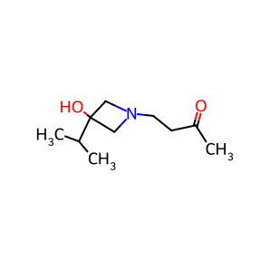 CC(=O)CCN1CC(O)(C(C)C)C1